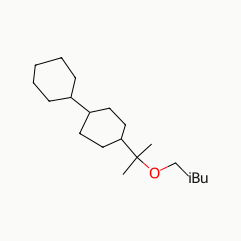 CCC(C)COC(C)(C)C1CCC(C2CCCCC2)CC1